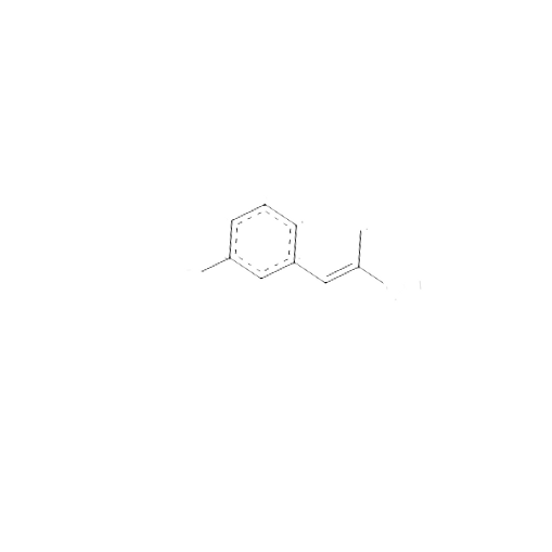 CCc1cccc(/C=C(\C)C(=O)O)c1